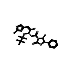 Cc1nc(/C=C(/F)[C@H](CC(=O)N2C(=O)O[C@H](c3ccccc3)[C@@H]2C)O[Si](C)(C)C(C)(C)C)cs1